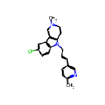 Cc1ccc(C=CCn2c3c(c4cc(Cl)ccc42)CN(C)CC3)cn1